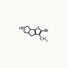 Cc1c(Br)sc2c1CC1CNCC21